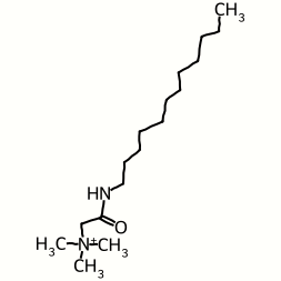 CCCCCCCCCCCCNC(=O)C[N+](C)(C)C